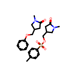 CN1CC(COc2ccccc2)CC1=O.Cc1ccc(S(=O)(=O)OCC2CC(=O)N(C)C2)cc1